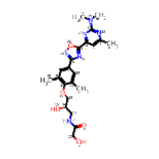 Cc1cc(-c2nc(-c3cc(C)c(OC[C@H](O)CNC(=O)CO)c(C)c3)no2)nc(N(C)C)n1